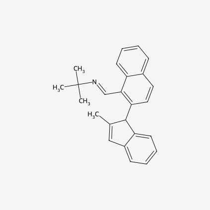 CC1=Cc2ccccc2C1c1ccc2ccccc2c1C=NC(C)(C)C